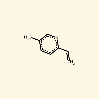 C=Cc1ccc(C)cn1